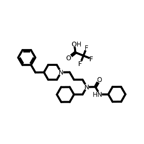 O=C(NC1CCCCC1)N(CCCN1CCC(Cc2ccccc2)CC1)CC1CCCCC1.O=C(O)C(F)(F)F